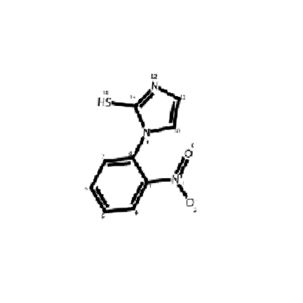 O=[N+]([O-])c1ccccc1-n1ccnc1S